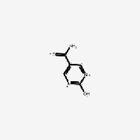 NC(=O)c1cnc(O)nc1